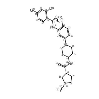 C[C@@H](Nc1nc(N2CCC(NC(=O)[C@@H]3CCN(C)C3)CC2)ncc1Cl)c1ccc(Cl)cc1Cl